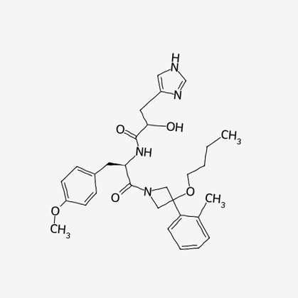 CCCCOC1(c2ccccc2C)CN(C(=O)[C@@H](Cc2ccc(OC)cc2)NC(=O)C(O)Cc2c[nH]cn2)C1